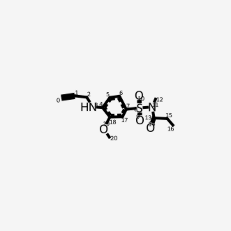 C#CCNc1ccc(S(=O)(=O)N(C)C(=O)CC)cc1OC